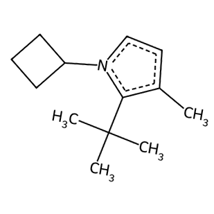 Cc1ccn(C2CCC2)c1C(C)(C)C